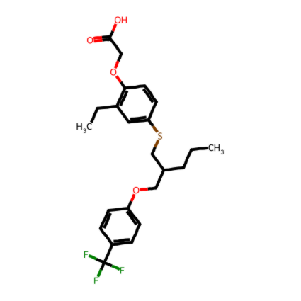 CCCC(COc1ccc(C(F)(F)F)cc1)CSc1ccc(OCC(=O)O)c(CC)c1